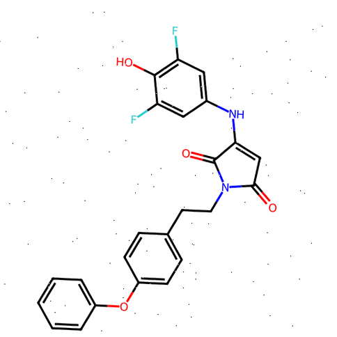 O=C1C=C(Nc2cc(F)c(O)c(F)c2)C(=O)N1CCc1ccc(Oc2ccccc2)cc1